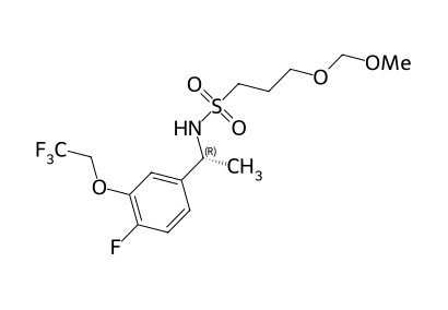 COCOCCCS(=O)(=O)N[C@H](C)c1ccc(F)c(OCC(F)(F)F)c1